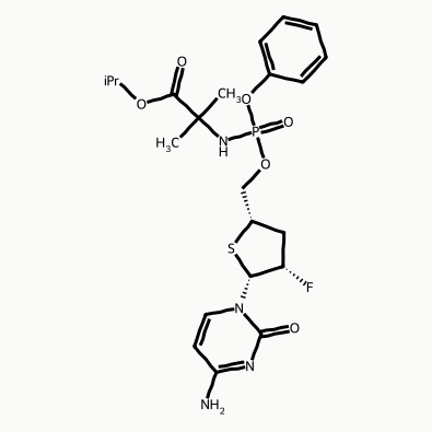 CC(C)OC(=O)C(C)(C)NP(=O)(OC[C@@H]1C[C@H](F)[C@H](n2ccc(N)nc2=O)S1)Oc1ccccc1